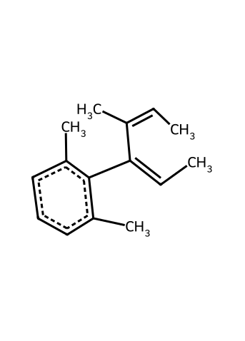 C/C=C(C)\C(=C/C)c1c(C)cccc1C